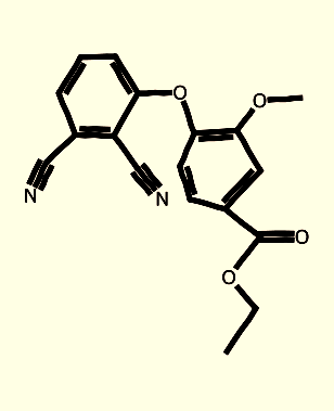 CCOC(=O)c1ccc(Oc2cccc(C#N)c2C#N)c(OC)c1